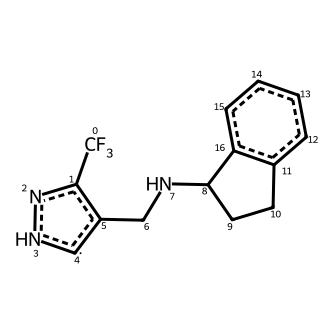 FC(F)(F)c1n[nH][c]c1CNC1CCc2ccccc21